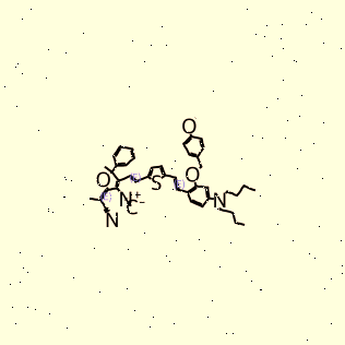 [C-]#[N+]C1=C(/C=C/c2ccc(/C=C/c3ccc(N(CCCC)CCCC)cc3OCc3ccc(OC)cc3)s2)C(C)(c2ccccc2)O/C1=C(\C)C#N